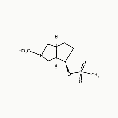 CS(=O)(=O)O[C@@H]1CC[C@@H]2CN(C(=O)O)C[C@@H]21